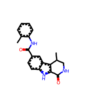 Cc1ccccc1NC(=O)c1ccc2[nH]c3c(c2c1)C(C)CNC3=O